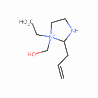 C=CCC1NCC[N+]1(CO)CC(=O)O